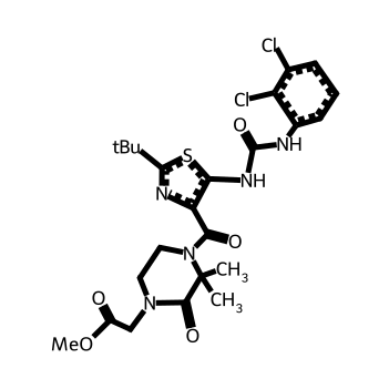 COC(=O)CN1CCN(C(=O)c2nc(C(C)(C)C)sc2NC(=O)Nc2cccc(Cl)c2Cl)C(C)(C)C1=O